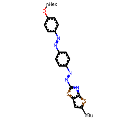 CCCCCCOc1ccc(N=Nc2ccc(N=Nc3nc4sc(CCCC)cc4s3)cc2)cc1